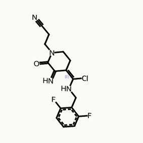 N#CCCN1CC/C(=C(\Cl)NCc2c(F)cccc2F)C(=N)C1=O